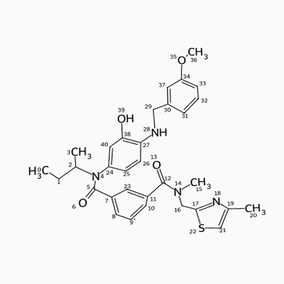 CCC(C)N(C(=O)c1c[c]cc(C(=O)N(C)Cc2nc(C)cs2)c1)c1ccc(NCc2cccc(OC)c2)c(O)c1